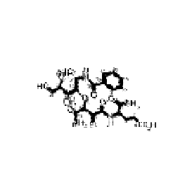 CCC(C(=O)NC(CCC(=O)O)C(N)=O)C(O[C@@H]([C@H](O)[C@H](O)CO)[C@H](C=O)NC(=O)c1ccccc1)C(N)=O